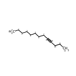 [CH2]CCCCCCCC#CCCC